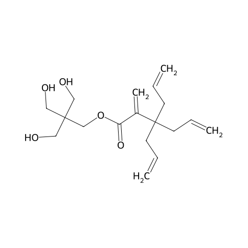 C=CCC(CC=C)(CC=C)C(=C)C(=O)OCC(CO)(CO)CO